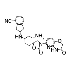 N#Cc1cccc2c1CC(NC1CCC3(CN(c4ccc5c(n4)NC(=O)CO5)C(=O)O3)C(N)C1)C2